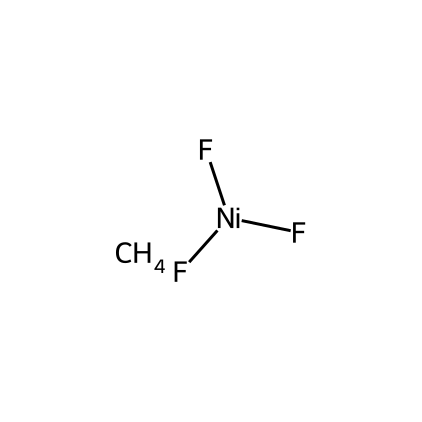 C.[F][Ni]([F])[F]